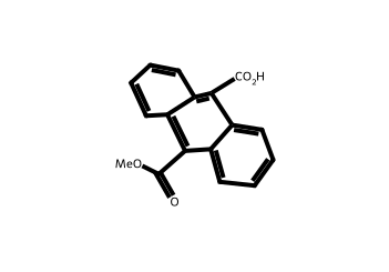 COC(=O)c1c2ccccc2c(C(=O)O)c2ccccc12